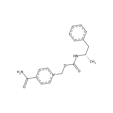 C[C@@H](Cc1ccccc1)NC(=O)OC[n+]1ccc(C(N)=O)cc1